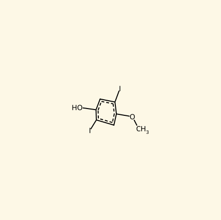 COc1cc(I)c(O)cc1I